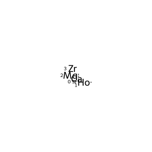 [Ca].[Ho].[Mg].[Zr]